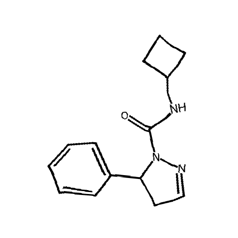 O=C(NC1CCC1)N1N=CCC1c1ccccc1